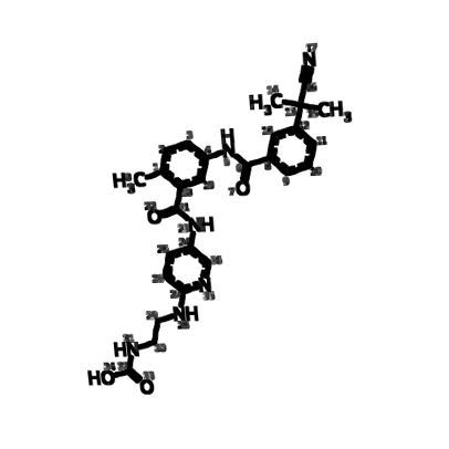 Cc1ccc(NC(=O)c2cccc(C(C)(C)C#N)c2)cc1C(=O)Nc1ccc(NCCNC(=O)O)nc1